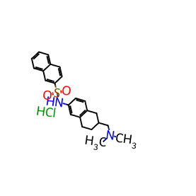 CN(C)CC1CCc2cc(NS(=O)(=O)c3ccc4ccccc4c3)ccc2C1.Cl